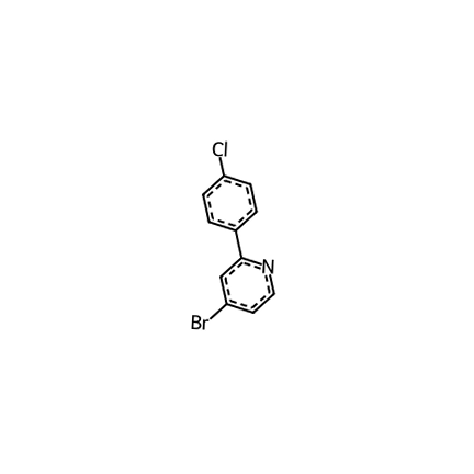 Clc1ccc(-c2cc(Br)ccn2)cc1